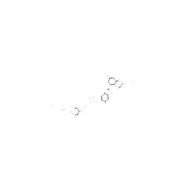 COc1cnc2c(-c3nc4cc(F)c(OC5CCC5OC(=O)Nc5cnc(OCCO)nc5)cc4s3)cc(Cl)cc2n1